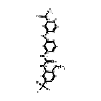 COc1ccc(C(F)(F)F)cc1NC(=O)Nc1cccc(Oc2ccnc(C(N)=O)c2)c1